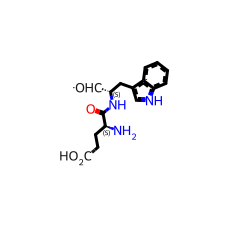 N[C@@H](CCC(=O)O)C(=O)N[C@H]([C]=O)Cc1c[nH]c2ccccc12